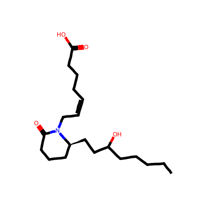 CCCCCC(O)CC[C@H]1CCCC(=O)N1C/C=C\CCCC(=O)O